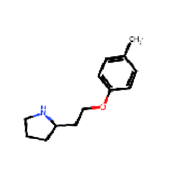 [CH2]c1ccc(OCCC2CCCN2)cc1